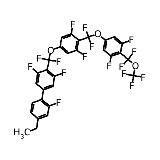 CCc1ccc(-c2cc(F)c(C(F)(F)Oc3cc(F)c(C(F)(F)Oc4cc(F)c(C(F)(F)OC(F)(F)F)c(F)c4)c(F)c3)c(F)c2)c(F)c1